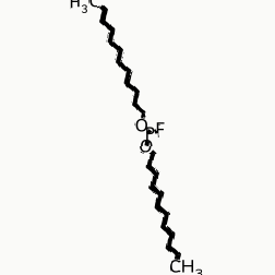 CCCCCCCCCCCCOP(F)OCCCCCCCCCCCC